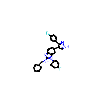 Fc1ccc(-c2n[nH]cc2-c2ccc3nc(NCc4ccccc4)n(-c4ccc(F)cc4)c3c2)cc1